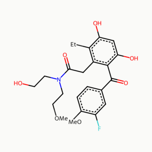 CCc1c(O)cc(O)c(C(=O)c2ccc(OC)c(F)c2)c1CC(=O)N(CCO)CCOC